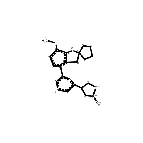 COc1ccc(-c2cncc(C3COB(O)C3)n2)c2c1OC1(CCCC1)C2